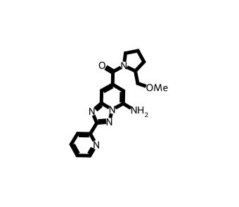 COCC1CCCN1C(=O)c1cc(N)n2nc(-c3ccccn3)nc2c1